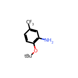 CC(C)(C)Oc1ccc(C(F)(F)F)cc1N